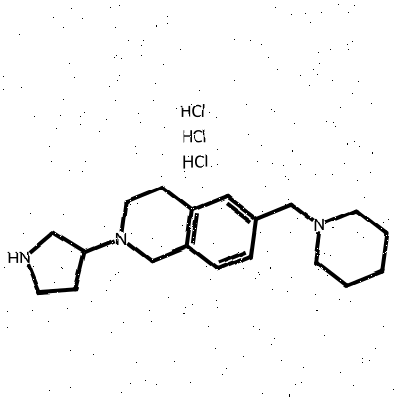 Cl.Cl.Cl.c1cc2c(cc1CN1CCCCC1)CCN(C1CCNC1)C2